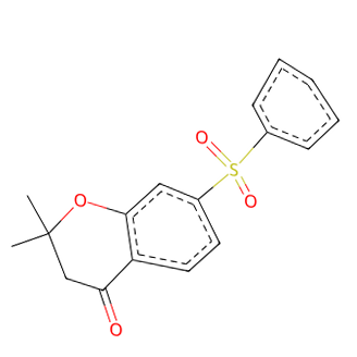 CC1(C)CC(=O)c2ccc(S(=O)(=O)c3ccccc3)cc2O1